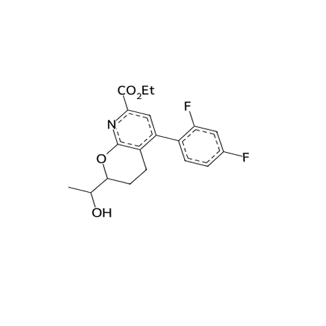 CCOC(=O)c1cc(-c2ccc(F)cc2F)c2c(n1)OC(C(C)O)CC2